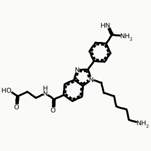 N=C(N)c1ccc(-c2nc3cc(C(=O)NCCC(=O)O)ccc3n2CCCCCCN)cc1